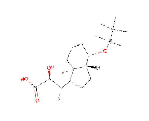 C[C@H]([C@H](O)C(=O)O)[C@H]1CC[C@H]2[C@@H](O[Si](C)(C)C(C)(C)C)CCC[C@]12C